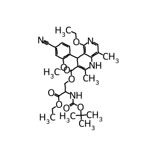 CCOC(=O)C(COC(=O)C1=C(C)Nc2c(C)cnc(OCC)c2C1c1ccc(C#N)cc1OC)NC(=O)OC(C)(C)C